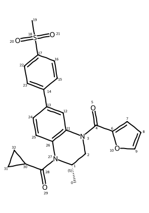 C[C@H]1CN(C(=O)c2ccco2)c2cc(-c3ccc(S(C)(=O)=O)cc3)ccc2N1C(=O)C1CC1